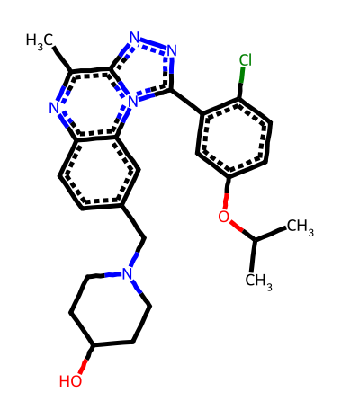 Cc1nc2ccc(CN3CCC(O)CC3)cc2n2c(-c3cc(OC(C)C)ccc3Cl)nnc12